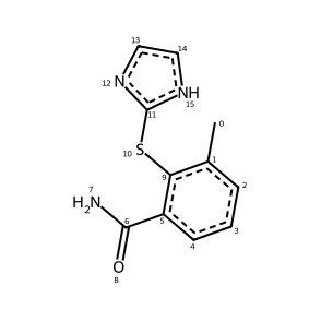 Cc1cccc(C(N)=O)c1Sc1ncc[nH]1